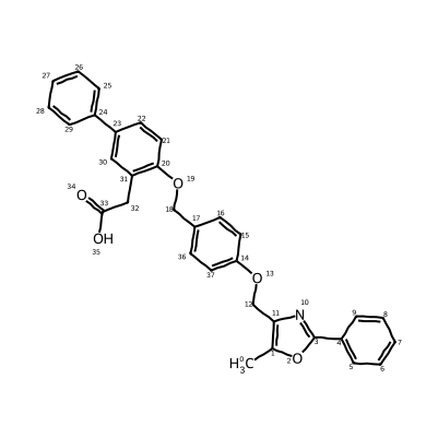 Cc1oc(-c2ccccc2)nc1COc1ccc(COc2ccc(-c3ccccc3)cc2CC(=O)O)cc1